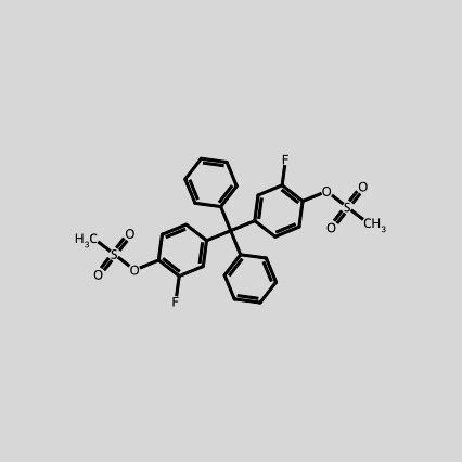 CS(=O)(=O)Oc1ccc(C(c2ccccc2)(c2ccccc2)c2ccc(OS(C)(=O)=O)c(F)c2)cc1F